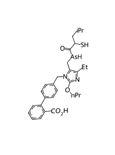 CCCOc1nc(CC)c(C[AsH]C(=O)C(S)CC(C)C)n1Cc1ccc(-c2ccccc2C(=O)O)cc1